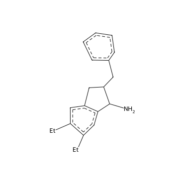 CCc1cc2c(cc1CC)C(N)C(Cc1ccccc1)C2